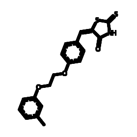 Cc1cccc(OCCOc2ccc(C=C3SC(=S)NC3=O)cc2)c1